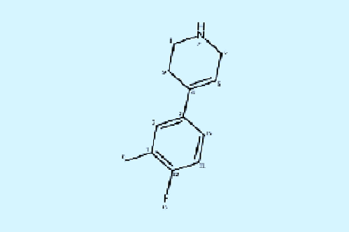 Cc1cc(C2=CCNCC2)ccc1F